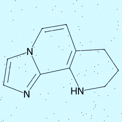 c1cn2ccc3c(c2n1)NCCC3